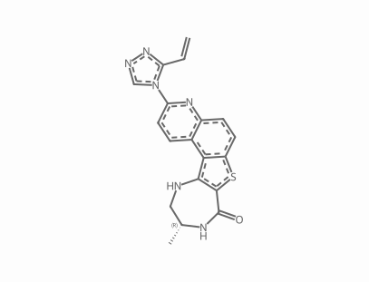 C=Cc1nncn1-c1ccc2c(ccc3sc4c(c32)NC[C@@H](C)NC4=O)n1